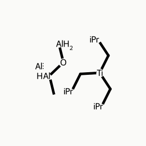 CC(C)[CH2][Ti]([CH2]C(C)C)[CH2]C(C)C.[Al].[CH3][AlH][O][AlH2]